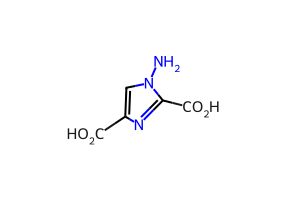 Nn1cc(C(=O)O)nc1C(=O)O